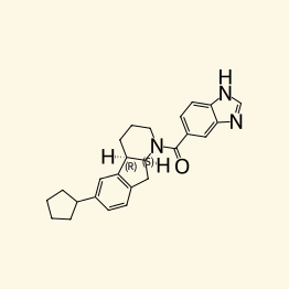 O=C(c1ccc2[nH]cnc2c1)N1CCC[C@@H]2c3cc(C4CCCC4)ccc3C[C@@H]21